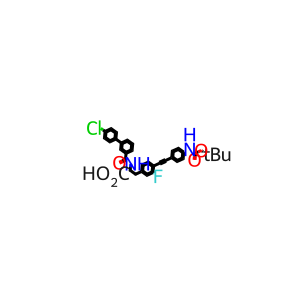 CC(C)(C)OC(=O)Nc1ccc(C#Cc2ccc(C[C@H](NC(=O)c3cccc(-c4ccc(Cl)cc4)c3)C(=O)O)cc2F)cc1